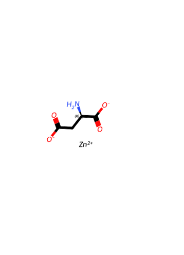 N[C@H](CC(=O)[O-])C(=O)[O-].[Zn+2]